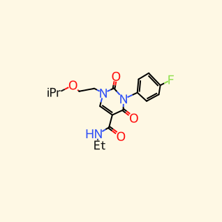 CCNC(=O)c1cn(CCOC(C)C)c(=O)n(-c2ccc(F)cc2)c1=O